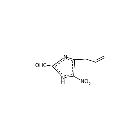 C=CCc1nc(C=O)[nH]c1[N+](=O)[O-]